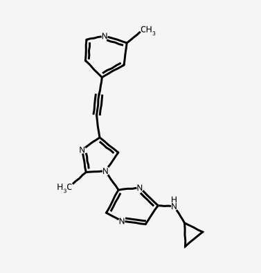 Cc1cc(C#Cc2cn(-c3cncc(NC4CC4)n3)c(C)n2)ccn1